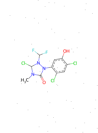 CN1C(=O)N(c2cc(O)c(Cl)cc2Cl)N(C(F)F)C1Cl